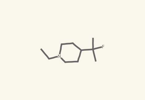 CCN1CCC(C(C)(C)F)CC1